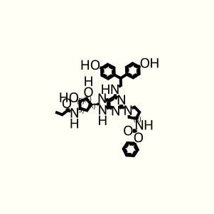 CCC(=O)N[C@H]1C[C@H](c2nc3c(NCC(c4ccc(O)cc4)c4ccc(O)cc4)nc(N4CC[C@@H](NC(=O)Oc5ccccc5)C4)nc3[nH]2)[C@H](O)[C@@H]1O